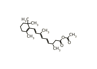 CC(=O)OC(=O)C[C@@H](C)/C=C/C=C(C)/C=C/C1=C(C)CCCC1(C)C